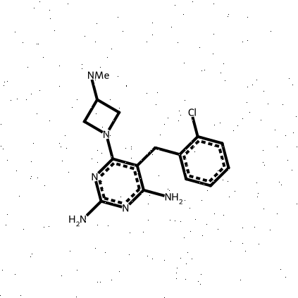 CNC1CN(c2nc(N)nc(N)c2Cc2ccccc2Cl)C1